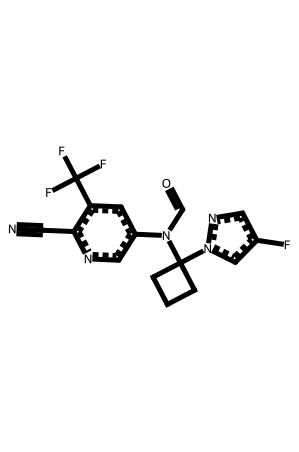 N#Cc1ncc(N(C=O)C2(n3cc(F)cn3)CCC2)cc1C(F)(F)F